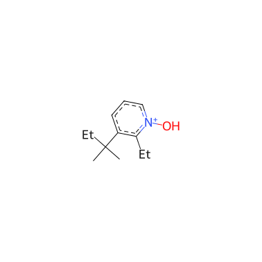 CCc1c(C(C)(C)CC)ccc[n+]1O